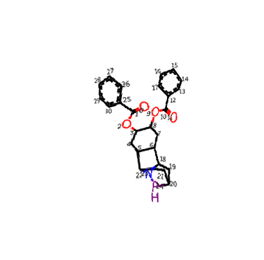 O=C(OC1CC2C(CC1OC(=O)c1ccccc1)C1CC3CC2N1P3)c1ccccc1